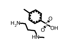 CNCCCN.Cc1ccc(S(=O)(=O)O)cc1